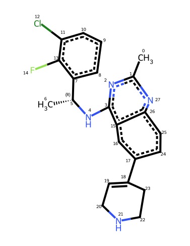 Cc1nc(N[C@H](C)c2cccc(Cl)c2F)c2cc(C3=CCNCC3)ccc2n1